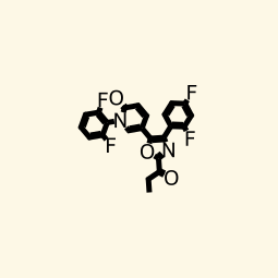 CCC(=O)c1nc(-c2ccc(F)cc2F)c(-c2ccc(=O)n(-c3c(F)cccc3F)c2)o1